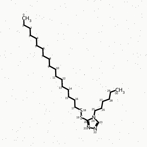 CCCCCCCCCCCCCCCCCCSSc1nncn1CCCCCC